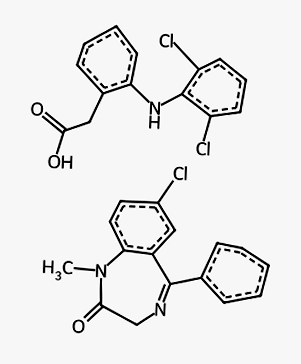 CN1C(=O)CN=C(c2ccccc2)c2cc(Cl)ccc21.O=C(O)Cc1ccccc1Nc1c(Cl)cccc1Cl